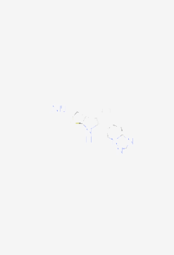 Cc1c(C2CC3CCC(C2)N3)sc2[nH]c(-c3cc(C)c4ncnn4c3)c(C(C)C)c12